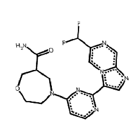 NC(=O)C1COCCN(c2ccnc(-c3cnc4cnc(C(F)F)cn34)n2)C1